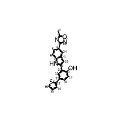 Cc1nc(-c2ccc3[nH]c(-c4cc(-c5cccs5)ccc4O)cc3c2)no1